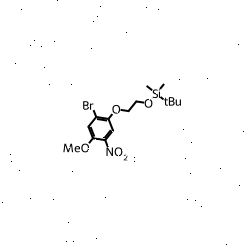 COc1cc(Br)c(OCCO[Si](C)(C)C(C)(C)C)cc1[N+](=O)[O-]